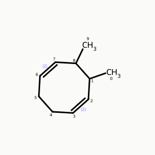 CC1/C=C\CC/C=C\C1C